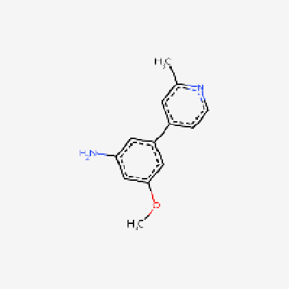 COc1cc(N)cc(-c2ccnc(C)c2)c1